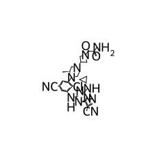 C[C@H]1CN(C2CN(C(=O)C(N)=O)C2)CCN1c1cc(C#N)cc(Nc2nc(NC3CC3)n3ncc(C#N)c3n2)c1Cl